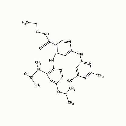 CCONC(=O)c1cnc(Nc2cc(C)nc(C)n2)cc1Nc1ccc(OC(C)C)cc1N(C)[S+](C)[O-]